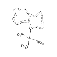 O=[N+]([O-])C(c1cccc2ccccc12)([N+](=O)[O-])[N+](=O)[O-]